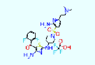 CN(C)CCc1ccc(S(=O)(=O)N2CCC(Nc3nc(N)c(C(=O)c4c(F)cccc4F)s3)CC2)c(N)n1.O=C(O)C(F)(F)F